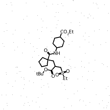 CCOC(=O)C1CCC(NC(=O)C2(CC(CS(=O)(=O)CC)C(=O)OC(C)(C)C)CCCC2)CC1